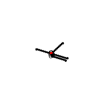 CC(C)CCCCCCCCCCCCCCC(=O)[O][Ti](=[O])([O]C(=O)CCCCCCCCCCCCCCC(C)C)([C](=O)CCCCCCCCCCCCCCC(C)C)[C](=O)CCCCCCCCCCCCCCC(C)C